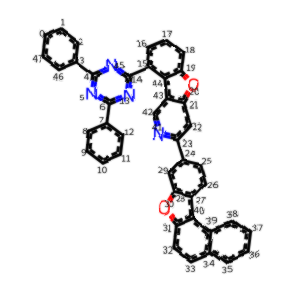 c1ccc(-c2nc(-c3ccccc3)nc(-c3cccc4oc5cc(-c6ccc7c(c6)oc6ccc8ccccc8c67)ncc5c34)n2)cc1